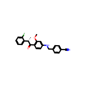 COc1cc(NCc2ccc(C#N)cc2)ccc1C(=O)[C@@H](C)c1ccccc1F